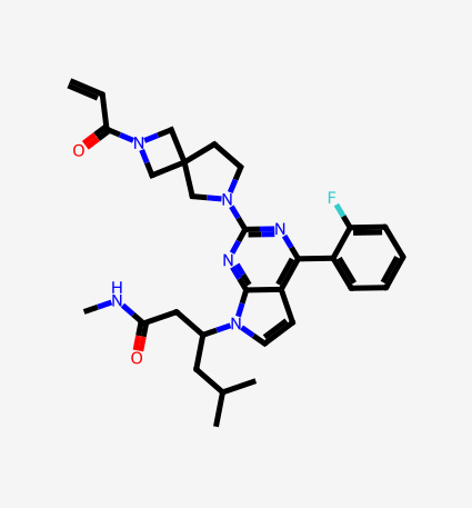 C=CC(=O)N1CC2(CCN(c3nc(-c4ccccc4F)c4ccn(C(CC(=O)NC)CC(C)C)c4n3)C2)C1